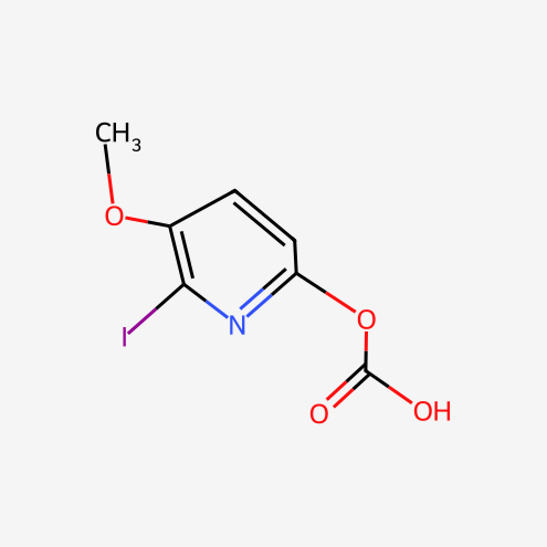 COc1ccc(OC(=O)O)nc1I